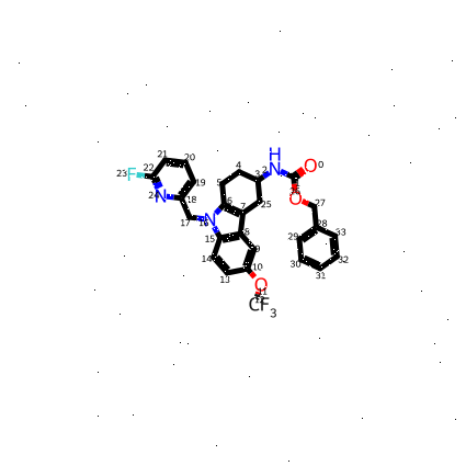 O=C(NC1CCc2c(c3cc(OC(F)(F)F)ccc3n2Cc2cccc(F)n2)C1)OCc1ccccc1